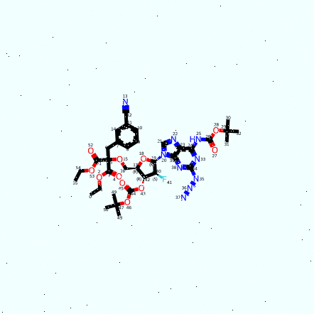 CCOC(=O)C(Cc1cccc(C#N)c1)(OC[C@H]1O[C@@H](n2cnc3c(NC(=O)OC(C)(C)C)nc(N=[N+]=[N-])nc32)[C@@H](F)[C@@H]1OC(=O)OC(C)(C)C)C(=O)OCC